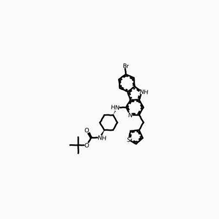 CC(C)(C)OC(=O)N[C@H]1CC[C@H](Nc2nc(Cc3ccsc3)cc3[nH]c4cc(Br)ccc4c23)CC1